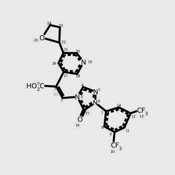 O=C(O)/C(=C/n1cnn(-c2cc(C(F)(F)F)cc(C(F)(F)F)c2)c1=O)c1cncc(C2CCO2)c1